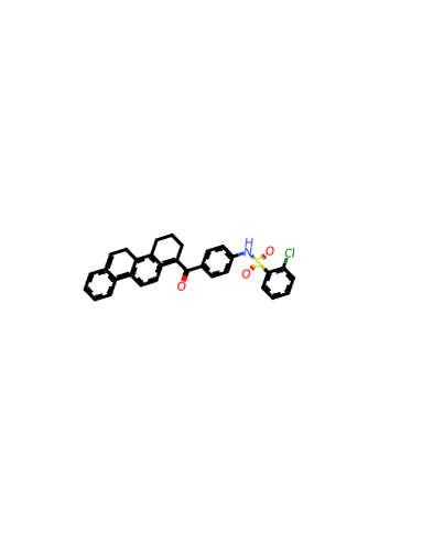 O=C(C1=c2ccc3c(c2CCC1)CC=c1ccccc1=3)c1ccc(NS(=O)(=O)c2ccccc2Cl)cc1